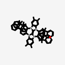 Cc1cc2c(cc1C)N(c1ccc3c(c1)C(C)(C)c1ccccc1-3)C(=C1N(c3ccc4c(c3)C(C)(C)c3ccccc3-4)c3cc(C)c(C)cc3N1c1ccc3c(c1)C(C)(C)c1ccccc1-3)N2c1ccc2c(c1)C(C)(C)c1ccccc1-2